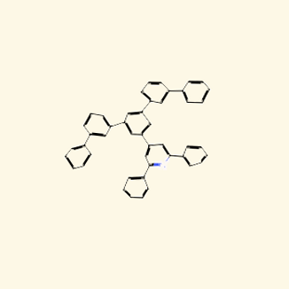 c1ccc(-c2cccc(-c3cc(-c4cccc(-c5ccccc5)c4)cc(-c4cc(-c5ccccc5)nc(-c5ccccc5)c4)c3)c2)cc1